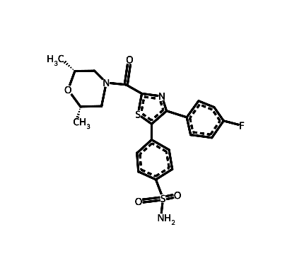 C[C@@H]1CN(C(=O)c2nc(-c3ccc(F)cc3)c(-c3ccc(S(N)(=O)=O)cc3)s2)C[C@H](C)O1